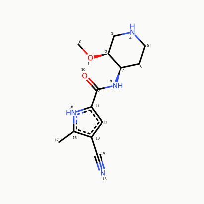 CO[C@H]1CNCC[C@H]1NC(=O)c1cc(C#N)c(C)[nH]1